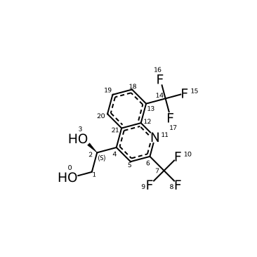 OC[C@@H](O)c1cc(C(F)(F)F)nc2c(C(F)(F)F)cccc12